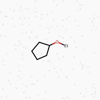 CCOC1CCCC1